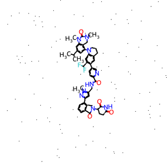 CC(C)c1cc2c(c(N3CCCc4cc(-c5ccc(C(=O)NCc6cc(-c7cccc8c7CN(C7CCC(=O)NC7=O)C8=O)nn6C)nc5)c(C(F)F)cc43)c1)CN(C)C(=O)N2C